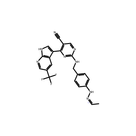 C/C=N\Nc1ccc(CNc2ncc(C#N)c(-c3c[nH]c4ncc(C(F)(F)F)cc34)n2)cc1